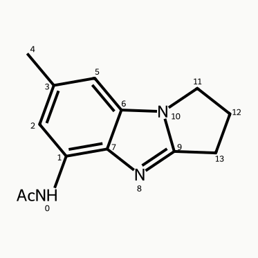 CC(=O)Nc1cc(C)cc2c1nc1n2CCC1